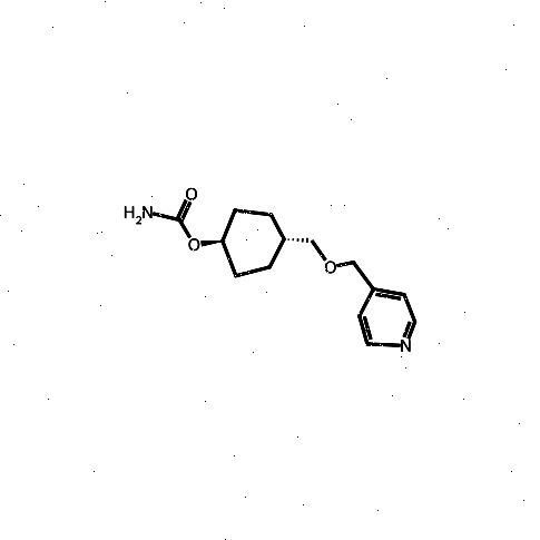 NC(=O)O[C@H]1CC[C@H](COCc2ccncc2)CC1